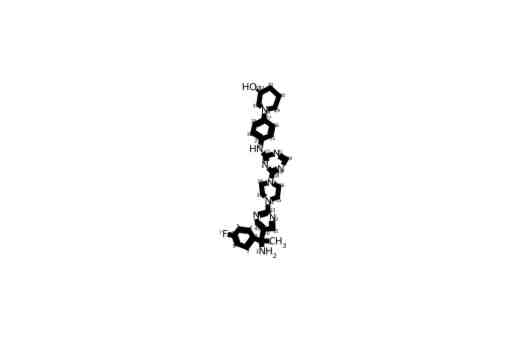 CC(N)(c1ccc(F)cc1)c1cnc(N2CCN(c3ncnc(Nc4ccc(N5CCC[C@H](O)C5)cc4)n3)CC2)nc1